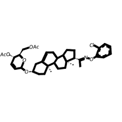 CC(=O)OC[C@H]1OC(O[C@H]2CC[C@@]3(C)C(=CCC4C3CC[C@@]3(C)C4CC[C@@H]3/C(C)=N/Oc3ccccc3Cl)C2)C=C[C@@H]1OC(C)=O